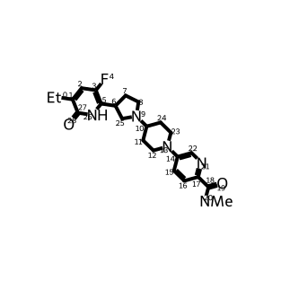 CCc1cc(F)c(C2CCN(C3CCN(c4ccc(C(=O)NC)nc4)CC3)C2)[nH]c1=O